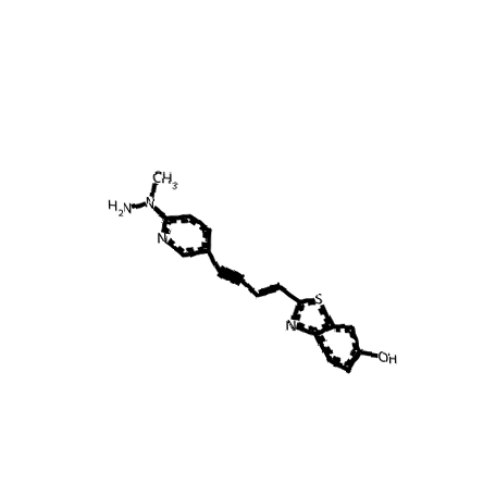 CN(N)c1ccc(C#C/C=C/c2nc3ccc(O)cc3s2)cn1